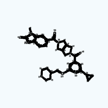 Cn1c(=O)[nH]c2ccc(C(=O)N3CC4=C(CN(C(=O)c5cc(OCC6CCOCC6)nc(C6CC6)c5)C4)C3)cc21